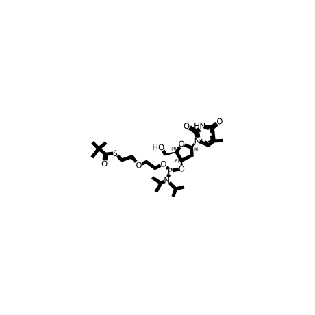 Cc1cn([C@H]2C[C@@H](OP(OCCOCCSC(=O)C(C)(C)C)N(C(C)C)C(C)C)[C@@H](CO)O2)c(=O)[nH]c1=O